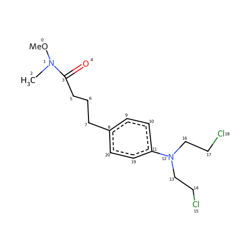 CON(C)C(=O)CCCc1ccc(N(CCCl)CCCl)cc1